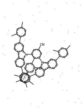 Cc1ccc(-c2ccc3c4ccc(-c5ccc(C)cc5C)cc4n(-c4cc(C#N)cc(-n5c6cc(-c7ccc(C)cc7C)ccc6c6ccc(-c7ccc(C)cc7C)cc65)c4-c4ccc(C(F)(F)F)cc4C(F)(F)F)c3c2)c(C)c1